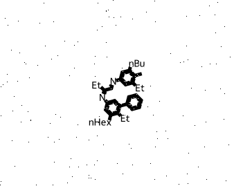 CCCCCCc1cc(N=C(C=Nc2cc(CC)c(C)c(CCCC)c2)CC)cc(-c2ccccc2)c1CC